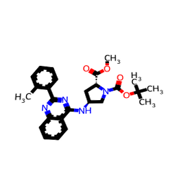 COC(=O)[C@H]1C[C@H](Nc2nc(-c3ccccc3C)nc3ccccc23)CN1C(=O)OC(C)(C)C